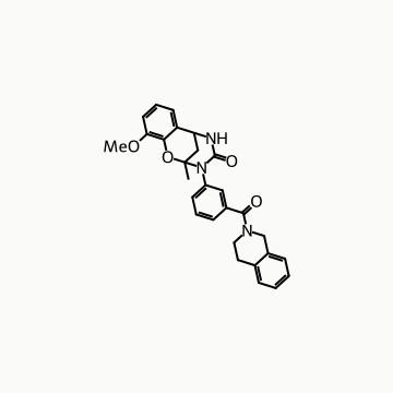 COc1cccc2c1OC1(C)CC2NC(=O)N1c1cccc(C(=O)N2CCc3ccccc3C2)c1